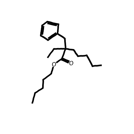 CCCCCOC(=O)C(CC)(CCCCC)Cc1ccccc1